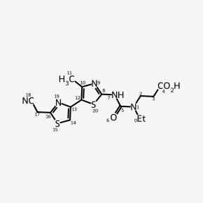 CCN(CCC(=O)O)C(=O)Nc1nc(C)c(-c2csc(CC#N)n2)s1